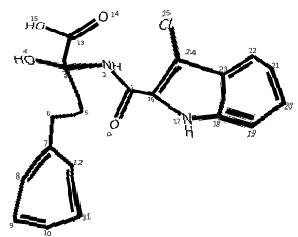 O=C(NC(O)(CCc1ccccc1)C(=O)O)c1[nH]c2ccccc2c1Cl